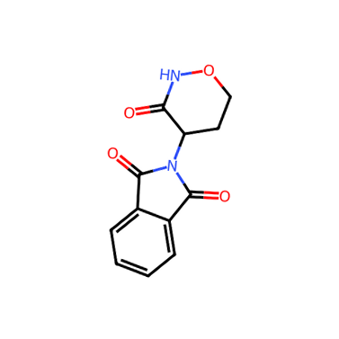 O=C1NOCCC1N1C(=O)c2ccccc2C1=O